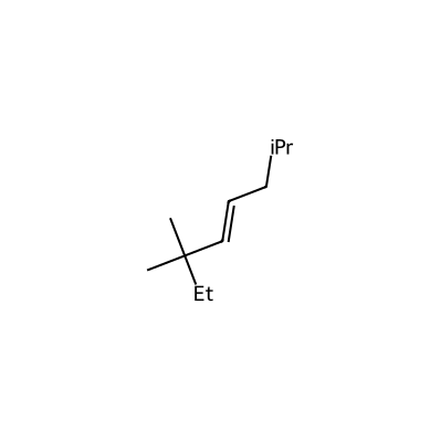 [CH2]C(C)CC=CC(C)(C)CC